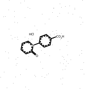 Cl.O=C(O)c1ccc(-n2ccccc2=O)cc1